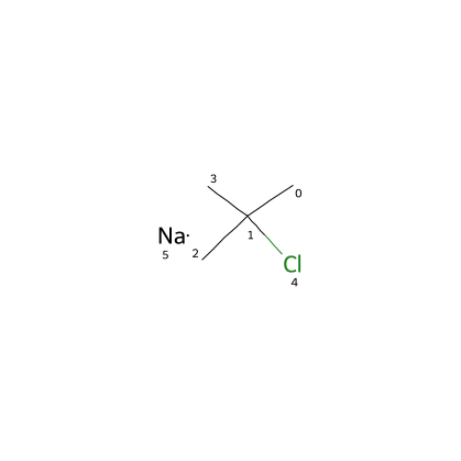 CC(C)(C)Cl.[Na]